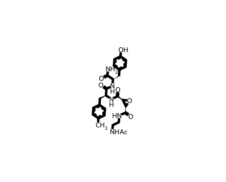 CC(=O)NCCNC(=O)[C@H]1O[C@@H]1C(=O)N[C@@H](Cc1ccc(C)cc1)C(=O)N[C@@H](Cc1ccc(O)cc1)C(N)=O